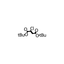 CC(C)(C)OC(=O)C=C(Cl)C(=O)OC(C)(C)C